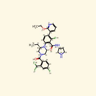 CCOc1ncccc1-c1ccc(N2CCN(C(=O)c3ccc(F)cc3C(F)F)C[C@H]2CC)c(C(=O)N[C@@H]2CCNC2)c1F